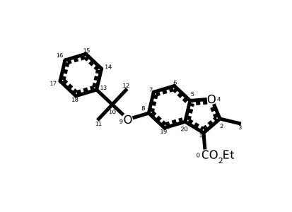 CCOC(=O)c1c(C)oc2ccc(OC(C)(C)c3ccccc3)cc12